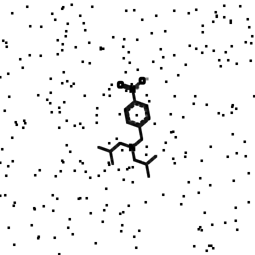 CC(C)CN(Cc1ccc([N+](=O)[O-])cc1)CC(C)C